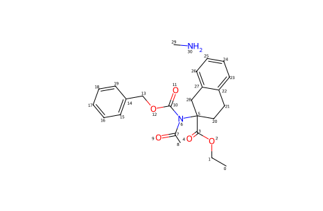 CCOC(=O)C1(N(C(C)=O)C(=O)OCc2ccccc2)CCc2ccccc2C1.CN